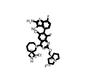 CC[C@H]1NC[C@]12CCCCN(c1nc(OC[C@@]34CCCN3C[C@H](F)C4)nc3c(F)c(-c4ccc(F)c5sc(N)c(C#N)c45)c(Cl)cc13)C2